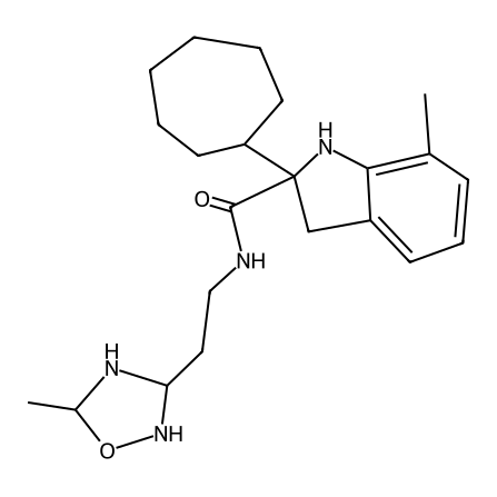 Cc1cccc2c1NC(C(=O)NCCC1NOC(C)N1)(C1CCCCCC1)C2